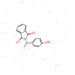 CC(c1ccc(O)cc1)N1C(=O)c2ccccc2C1=O